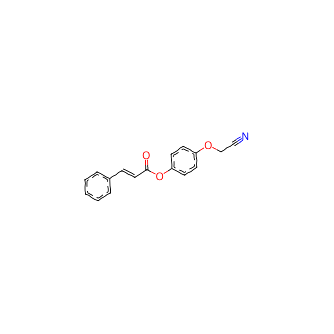 N#CCOc1ccc(OC(=O)C=Cc2ccccc2)cc1